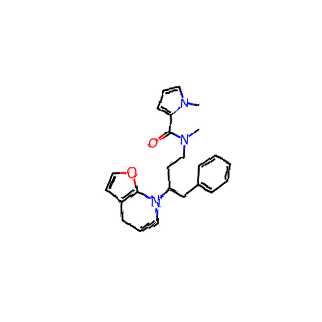 CN(CCC(Cc1ccccc1)N1C=CCc2ccoc21)C(=O)c1cccn1C